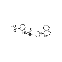 COC(=O)c1cccc(NC(=S)NC2CCN(c3nccc4ccccc34)CC2)c1